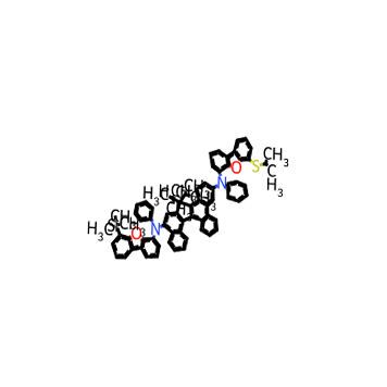 CC(C)Sc1cccc2c1oc1c(N(c3ccccc3)c3ccc4c5c(c6ccccc6c4c3)-c3c(cc(N(c4ccccc4)c4cccc6c4oc4c([Si](C)(C)C)cccc46)c4ccccc34)C5(C(C)(C)C)C(C)(C)C)cccc12